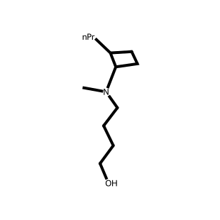 CCCC1CCC1N(C)CCCCO